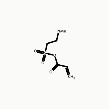 C=CC(=O)OS(=O)(=O)CCNC